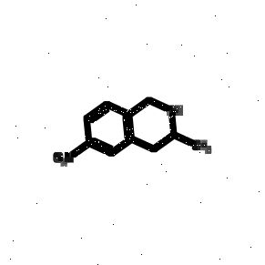 CC1Cc2cc([N+](=O)[O-])ccc2CN1